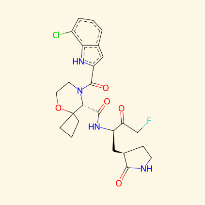 O=C1NCC[C@@H]1C[C@@H](NC(=O)[C@H]1N(C(=O)c2cc3cccc(Cl)c3[nH]2)CCOC12CCC2)C(=O)CF